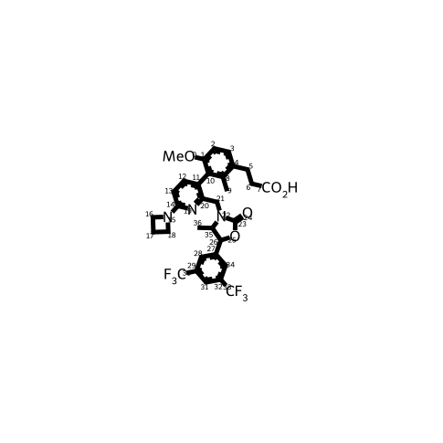 COc1ccc(CCC(=O)O)c(C)c1-c1ccc(N2CCC2)nc1CN1C(=O)OC(c2cc(C(F)(F)F)cc(C(F)(F)F)c2)C1C